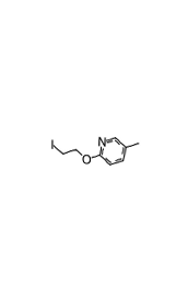 Cc1ccc(OCCI)nc1